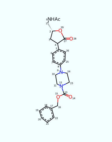 CC(=O)NC[C@H]1CC(c2ccc(N3CCN(C(=O)OCc4ccccc4)CC3)cc2)C(=O)O1